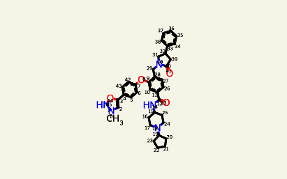 CN1C=C(c2ccc(Oc3cc(C(=O)NC4CCN(C5CCCC5)CC4)ccc3CN3CC(c4ccccc4)CC3=O)cc2)ON1